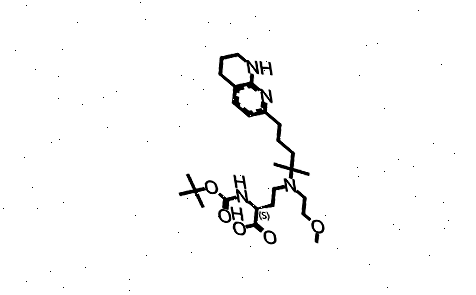 COCCN(CC[C@H](NC(=O)OC(C)(C)C)C(=O)O)C(C)(C)CCCc1ccc2c(n1)NCCC2